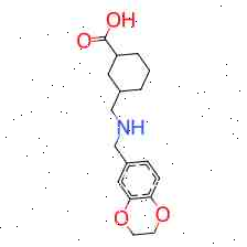 O=C(O)C1CCCC(CNCc2ccc3c(c2)OCCO3)C1